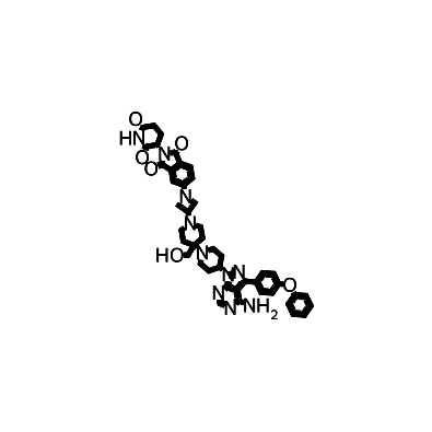 Nc1ncnc2c1c(-c1ccc(Oc3ccccc3)cc1)nn2C1CCN(C2(CO)CCN(C3CN(c4ccc5c(c4)C(=O)N(C4CCC(=O)NC4=O)C5=O)C3)CC2)CC1